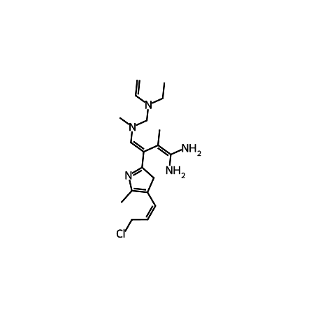 C=CN(CC)CN(C)/C=C(/C1=NC(C)=C(/C=C\CCl)C1)C(C)=C(N)N